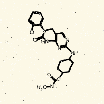 CNC(=O)OC1CCC(Nc2ncc3c(n2)NC(=O)N(c2ccccc2Cl)C3)CC1